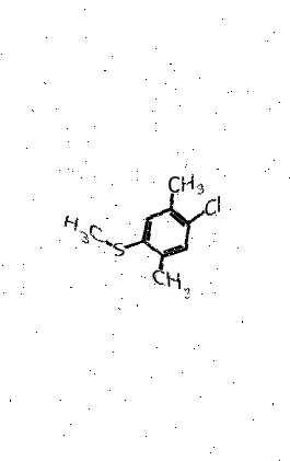 CSc1cc(C)c(Cl)cc1C